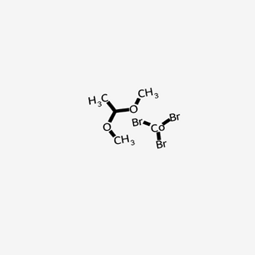 COC(C)OC.[Br][Co]([Br])[Br]